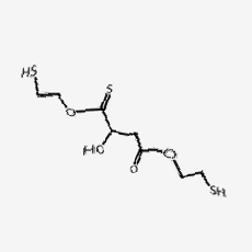 O=C(CC(O)C(=S)OCCS)OCCS